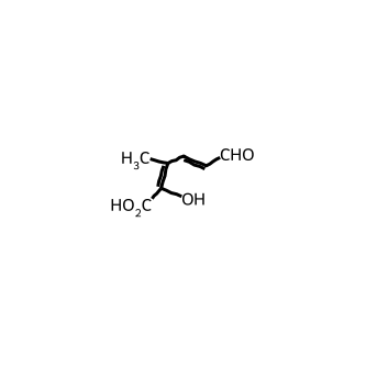 CC(C=CC=O)=C(O)C(=O)O